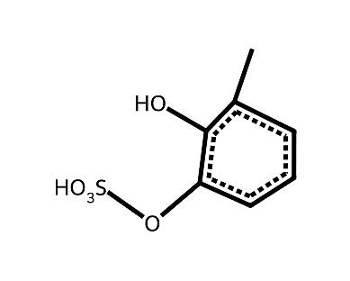 Cc1cccc(OS(=O)(=O)O)c1O